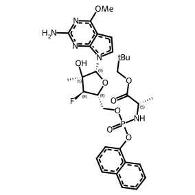 COc1nc(N)nc2c1ccn2[C@@H]1O[C@H](COP(=O)(N[C@@H](C)C(=O)OCC(C)(C)C)Oc2cccc3ccccc23)[C@@H](F)[C@@]1(C)O